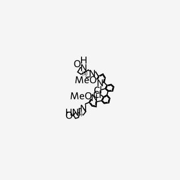 COc1nc(-c2cccc(-c3cccc(-c4ccc(CN5CC[C@@]6(CCC(=O)N6)C5)c(OC)n4)c3Cl)c2Cl)ccc1CN1CC[C@@]2(CCC(=O)N2)C1